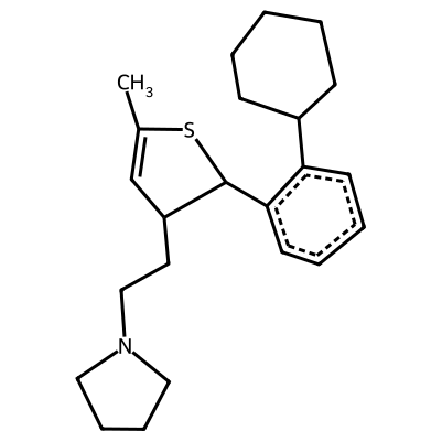 CC1=CC(CCN2CCCC2)C(c2ccccc2C2CCCCC2)S1